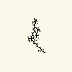 CCOC(=O)CCCCCCC(CCCC(CCCCC(F)(F)F)OC(C)=O)(C(C)=O)C(=O)OC(C)(C)C